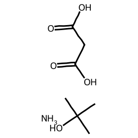 CC(C)(C)O.N.O=C(O)CC(=O)O